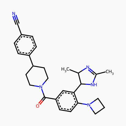 CC1=NC(C)C(c2cc(C(=O)N3CCC(c4ccc(C#N)cc4)CC3)ccc2N2CCC2)N1